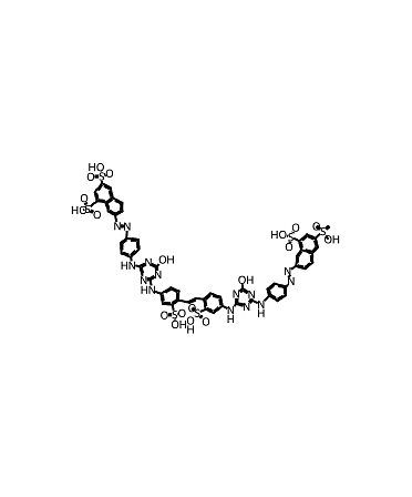 C=S(=O)(O)c1cc(S(=O)(=O)O)c2cc(/N=N/c3ccc(Nc4nc(O)nc(Nc5ccc(/C=C/c6ccc(Nc7nc(O)nc(Nc8ccc(/N=N/c9ccc%10cc(S(=O)(=O)O)cc(S(=O)(=O)O)c%10c9)cc8)n7)cc6S(=O)(=O)O)c(S(=O)(=O)O)c5)n4)cc3)ccc2c1